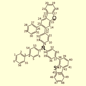 c1ccc(-c2ccc(N(c3ccc(-c4cc5oc6ccccc6c5cc4-c4ccccc4)cc3)c3ccc(-c4cccc5c4sc4ccccc45)cc3)cc2)cc1